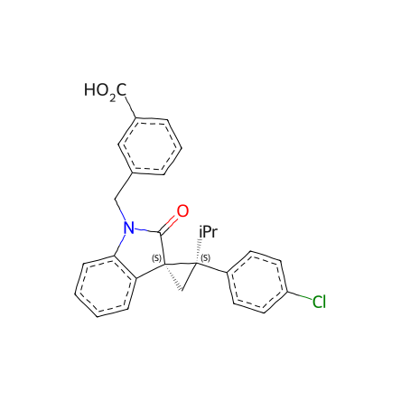 CC(C)[C@]1(c2ccc(Cl)cc2)C[C@]12C(=O)N(Cc1cccc(C(=O)O)c1)c1ccccc12